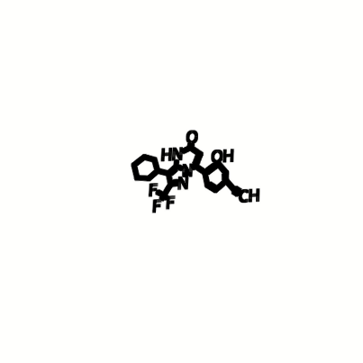 C#Cc1ccc(-c2cc(=O)[nH]c3c(C4CCCCC4)c(C(F)(F)F)nn23)c(O)c1